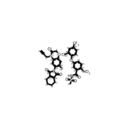 C#CCN1C(=O)COc2cc(F)c(N3C(=O)C4=C(CCCC4)C3=O)cc21.CS(=O)(=O)NC(=O)c1cc(Oc2ccc(C(F)(F)F)cc2Cl)ccc1[N+](=O)[O-]